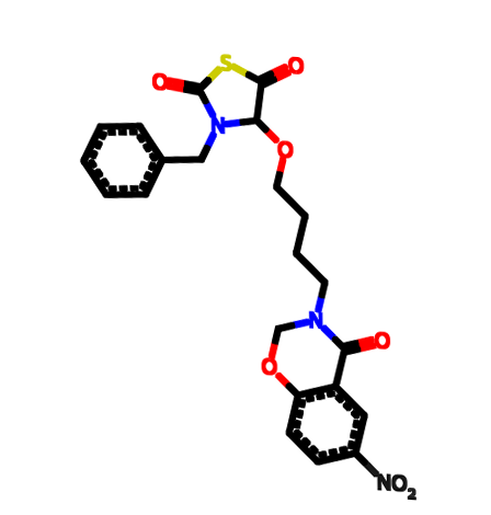 O=C1SC(=O)N(Cc2ccccc2)C1OCCCCN1COc2ccc([N+](=O)[O-])cc2C1=O